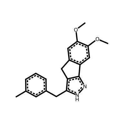 COc1cc2c(cc1OC)-c1n[nH]c(Cc3cccc(C)c3)c1C2